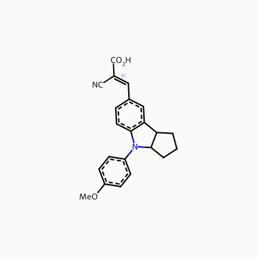 COc1ccc(N2c3ccc(/C=C(\C#N)C(=O)O)cc3C3CCCC32)cc1